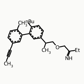 CC#Cc1ccc(C)c(-c2cc(C(C)COCC(=N)CC)ccc2CCCC)c1